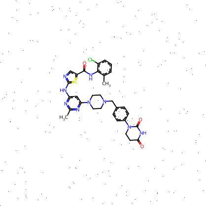 Cc1nc(Nc2ncc(C(=O)Nc3c(C)cccc3Cl)s2)cc(N2CCN(Cc3ccc(N4CCC(=O)NC4=O)cc3)CC2)n1